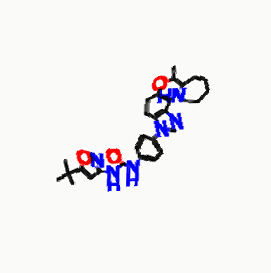 CC(Oc1ccc2c(c1)ncn2-c1ccc(NC(=O)Nc2cc(C(C)(C)C)on2)cc1)C1CCCCCN1